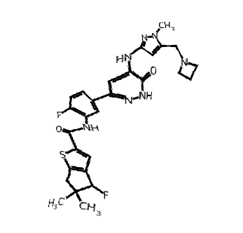 Cn1nc(Nc2cc(-c3ccc(F)c(NC(=O)c4cc5c(s4)CC(C)(C)C5F)c3)n[nH]c2=O)cc1CN1CCC1